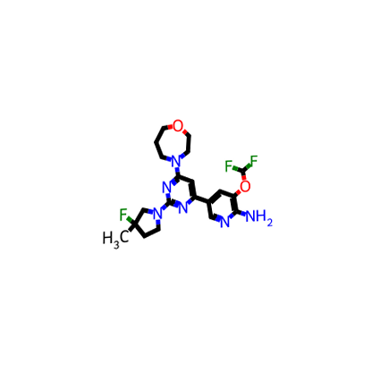 CC1(F)CCN(c2nc(-c3cnc(N)c(OC(F)F)c3)cc(N3CCCOCC3)n2)C1